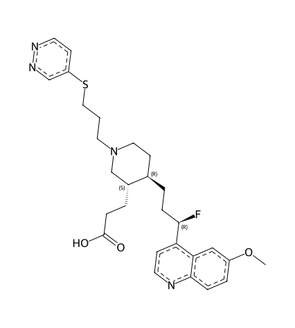 COc1ccc2nccc([C@H](F)CC[C@@H]3CCN(CCCSc4ccnnc4)C[C@H]3CCC(=O)O)c2c1